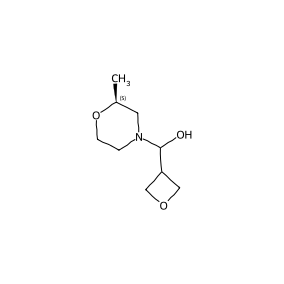 C[C@H]1CN(C(O)C2COC2)CCO1